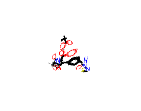 C[C@@H](O)[C@H]1C(=O)N2C(C(=O)OCOC(=O)C(C)(C)C)=C(c3ccc(CC(=O)Nc4nccs4)cc3)C[C@H]12